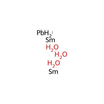 O.O.O.[PbH2].[Sm].[Sm]